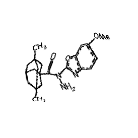 COc1ccc2nc(N(N)C(=O)C34CC5CC(C)(CC(C)(C5)C3)C4)oc2c1